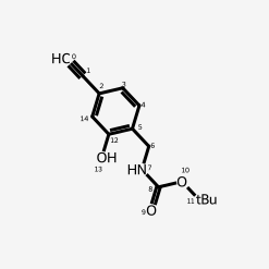 C#Cc1ccc(CNC(=O)OC(C)(C)C)c(O)c1